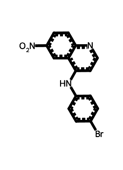 O=[N+]([O-])c1ccc2nccc(Nc3ccc(Br)cc3)c2c1